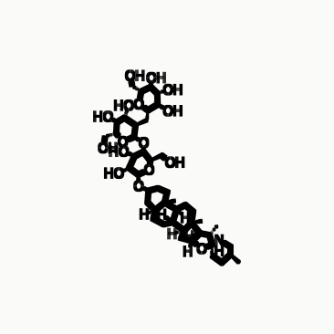 C[C@H]1CC[C@]2(NC1)O[C@H]1C[C@H]3[C@@H]4CC[C@H]5C[C@@H](O[C@@H]6O[C@H](CO)[C@H](O[C@H]7O[C@H](CO)[C@@H](O)[C@H](O)[C@H]7C[C@@H]7O[C@H](CO)[C@@H](O)[C@H](O)[C@H]7O)[C@H](O)[C@H]6O)CC[C@]5(C)[C@H]4CC[C@]3(C)[C@H]1[C@@H]2C